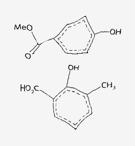 COC(=O)c1ccc(O)cc1.Cc1cccc(C(=O)O)c1O